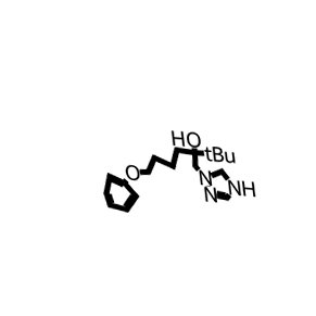 CC(C)(C)C(O)(CCCCOc1ccccc1)CN1CNC=N1